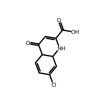 O=C(O)C1=CC(=O)C2C=CC(Cl)=CC2N1